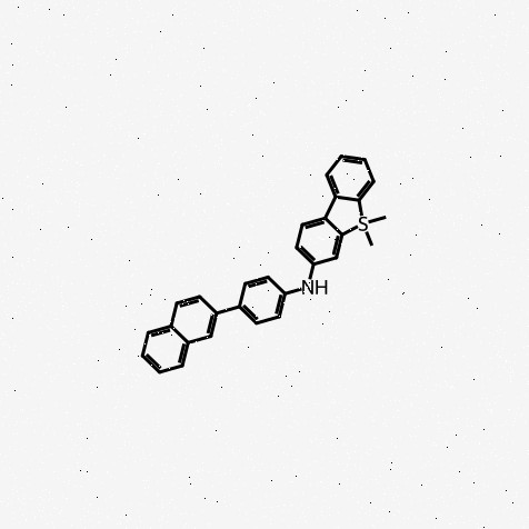 CS1(C)c2ccccc2-c2ccc(Nc3ccc(-c4ccc5ccccc5c4)cc3)cc21